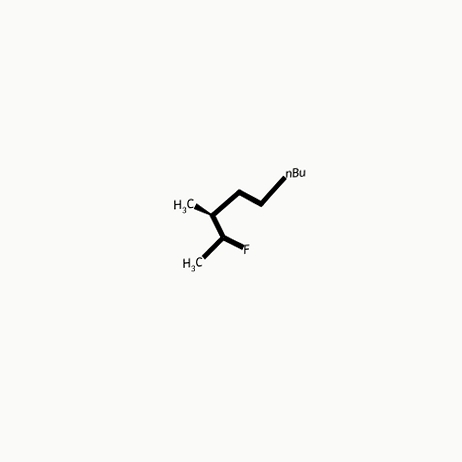 CCCCCC[C@H](C)C(C)F